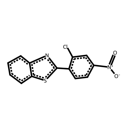 O=[N+]([O-])c1ccc(-c2nc3ccccc3s2)c(Cl)c1